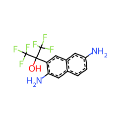 Nc1ccc2cc(N)c(C(O)(C(F)(F)F)C(F)(F)F)cc2c1